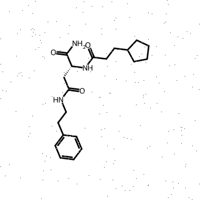 NC(=O)[C@@H](CC(=O)NCCc1ccccc1)NC(=O)CCC1CCCC1